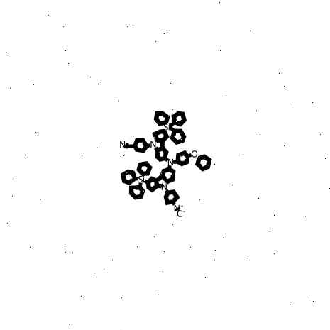 [C-]#[N+]c1ccc(-n2c3ccc(N(c4ccc(Oc5ccccc5)cc4)c4ccc5c(c4)c4cc([Si](c6ccccc6)(c6ccccc6)c6ccccc6)ccc4n5-c4ccc(C#N)cc4)cc3c3cc([Si](c4ccccc4)(c4ccccc4)c4ccccc4)ccc32)cc1